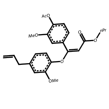 C=CCc1ccc(O/C(=C/C(=O)OCCC)c2ccc(OC(C)=O)c(OC)c2)c(OC)c1